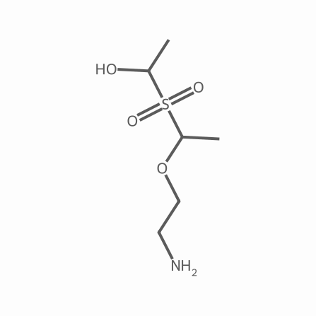 CC(O)S(=O)(=O)C(C)OCCN